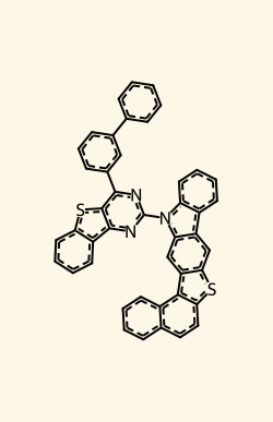 c1ccc(-c2cccc(-c3nc(-n4c5ccccc5c5cc6sc7ccc8ccccc8c7c6cc54)nc4c3sc3ccccc34)c2)cc1